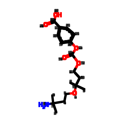 CC(C)(N)CCOC(C)(C)CCOC(=O)Oc1ccc(C(=O)O)cc1